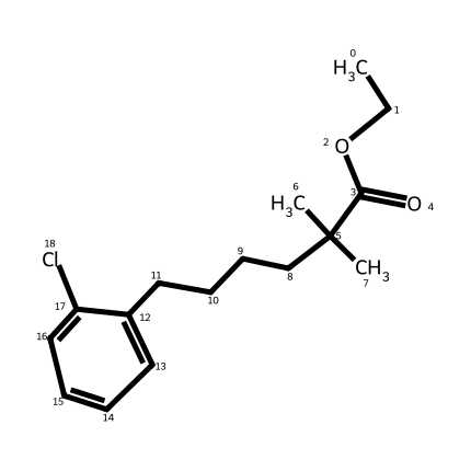 CCOC(=O)C(C)(C)CCCCc1ccccc1Cl